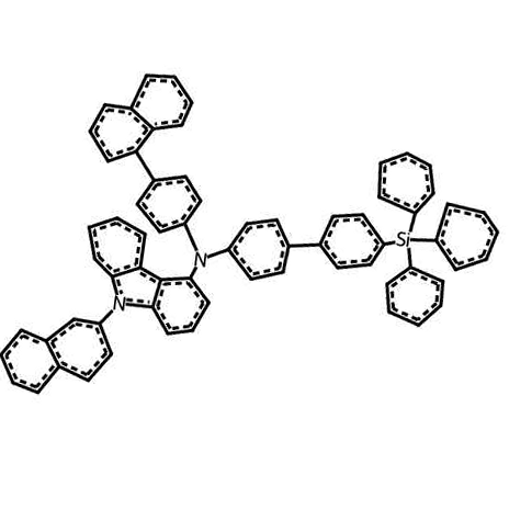 c1ccc([Si](c2ccccc2)(c2ccccc2)c2ccc(-c3ccc(N(c4ccc(-c5cccc6ccccc56)cc4)c4cccc5c4c4ccccc4n5-c4ccc5ccccc5c4)cc3)cc2)cc1